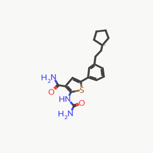 NC(=O)Nc1sc(-c2cccc(CC[C]3CCCC3)c2)cc1C(N)=O